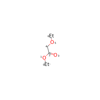 C[CH]OC(=O)COCC